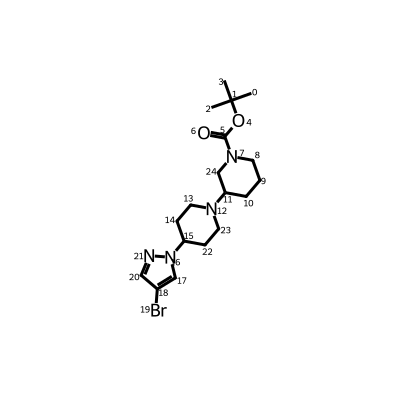 CC(C)(C)OC(=O)N1CCCC(N2CCC(n3cc(Br)cn3)CC2)C1